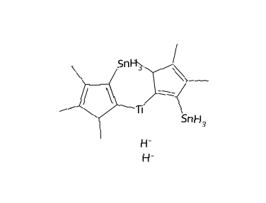 CC1=C(C)C(C)[C]([Ti][C]2=[C]([SnH3])C(C)=C(C)C2C)=[C]1[SnH3].[H-].[H-]